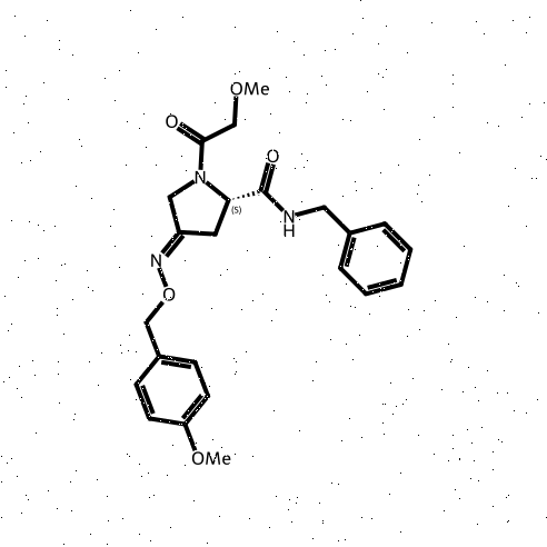 COCC(=O)N1CC(=NOCc2ccc(OC)cc2)C[C@H]1C(=O)NCc1ccccc1